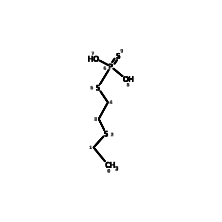 CCSCCSP(O)(O)=S